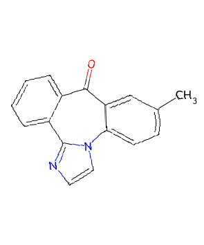 Cc1ccc2c(c1)c(=O)c1ccccc1c1nccn21